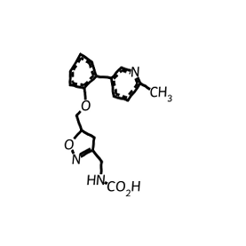 Cc1ccc(-c2ccccc2OCC2CC(CNC(=O)O)=NO2)cn1